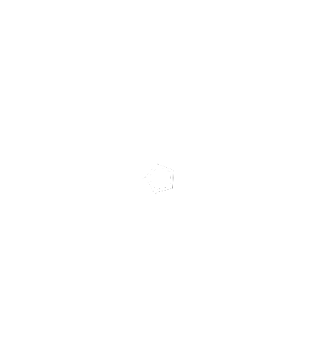 [c]1cn[se]n1